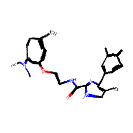 CCc1cnc(C(=O)NCCOc2cc(C#N)ccc2N(C)C(C)=O)nc1-c1ccc(C)c(C)c1